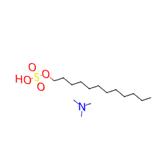 CCCCCCCCCCCCOS(=O)(=O)O.CN(C)C